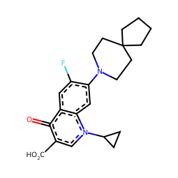 O=C(O)c1cn(C2CC2)c2cc(N3CCC4(CCCC4)CC3)c(F)cc2c1=O